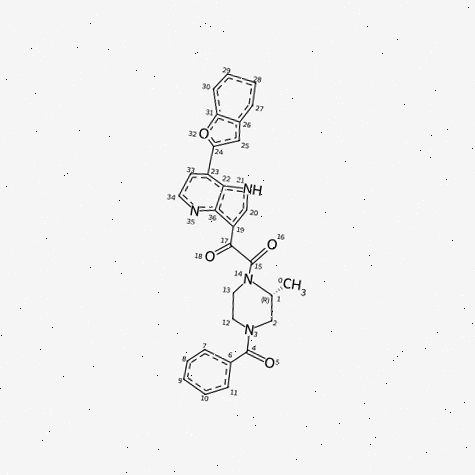 C[C@@H]1CN(C(=O)c2ccccc2)CCN1C(=O)C(=O)c1c[nH]c2c(-c3cc4ccccc4o3)ccnc12